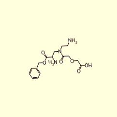 NCCN(CC(N)C(=O)OCc1ccccc1)C(=O)COCC(=O)O